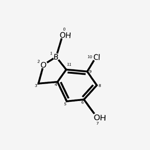 OB1OCc2cc(O)cc(Cl)c21